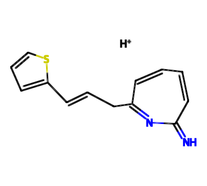 N=c1ccccc(CC=Cc2cccs2)n1.[H+]